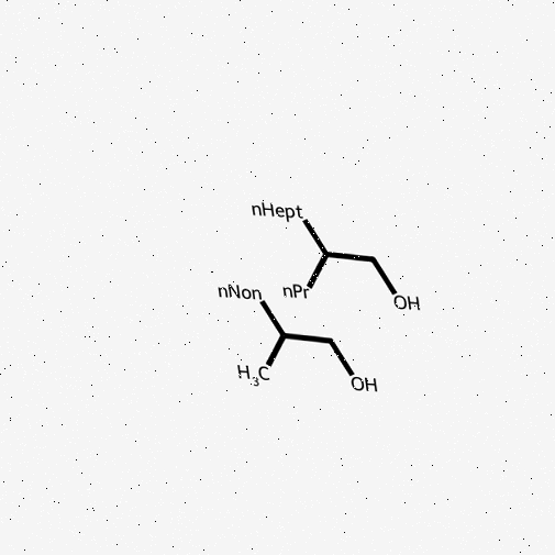 CCCCCCCC(CO)CCC.CCCCCCCCCC(C)CO